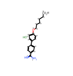 Cl.N=C(N)c1ccc(-c2ccc(OCCCCCC(=O)O)cc2)cc1